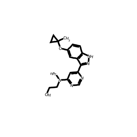 CCCN(CCO)c1cc(-c2n[nH]c3ccc(OC4(C)CC4)cc23)ncn1